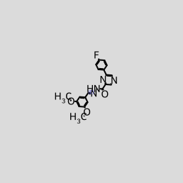 COc1cc(/C=N/NC(=O)c2cncc(-c3ccc(F)cc3)n2)cc(OC)c1